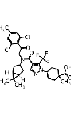 Cc1cc(Cl)c(C(=O)CN(C(=O)c2cnn(C3CCC(C)(C(=O)O)CC3)c2C(F)(F)F)[C@H]2C[C@@H]3[C@H](C2)C3(C)C)c(Cl)c1